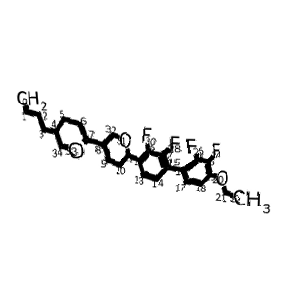 C=CCCC1CCC(C2CCC(c3ccc(-c4ccc(OCC)c(F)c4F)c(F)c3F)OC2)OC1